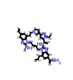 C=Cc1cc(CCN2CCCC2)c2c(c1)nc(NC)n2C/C=C/Cn1c(NC(=C)c2cc(C)nn2CC)nc2cc(C(=C)N)cc(CCC)c21